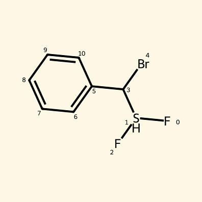 F[SH](F)C(Br)c1ccccc1